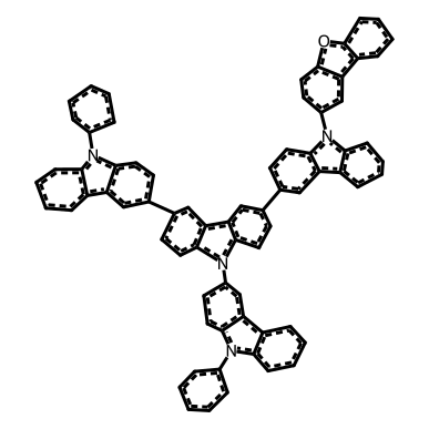 c1ccc(-n2c3ccccc3c3cc(-c4ccc5c(c4)c4cc(-c6ccc7c(c6)c6ccccc6n7-c6ccc7oc8ccccc8c7c6)ccc4n5-c4ccc5c(c4)c4ccccc4n5-c4ccccc4)ccc32)cc1